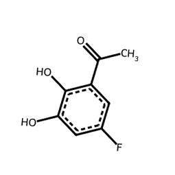 CC(=O)c1cc(F)cc(O)c1O